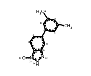 Cc1cc(C)cc(-c2ccc3c(c2)n[nH][n+]3[O-])c1